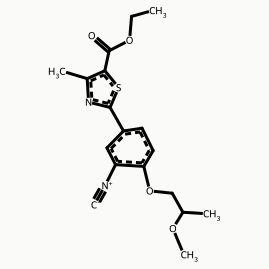 [C-]#[N+]c1cc(-c2nc(C)c(C(=O)OCC)s2)ccc1OCC(C)OC